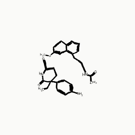 CCC1(c2ccc(N)cc2)CCC(=O)NC1=O.COc1ccc2cccc(CCNC(C)=O)c2c1